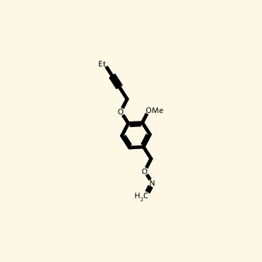 C=NOCc1ccc(OCC#CCC)c(OC)c1